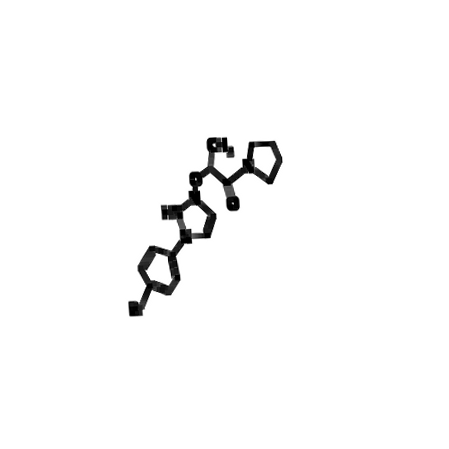 CC(ON1C=CN(c2ccc(Br)cc2)N1)C(=O)N1CCCC1